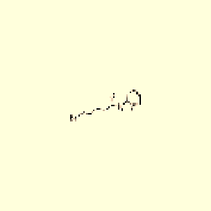 O=C(CCCCBr)N1CCc2ccccc21